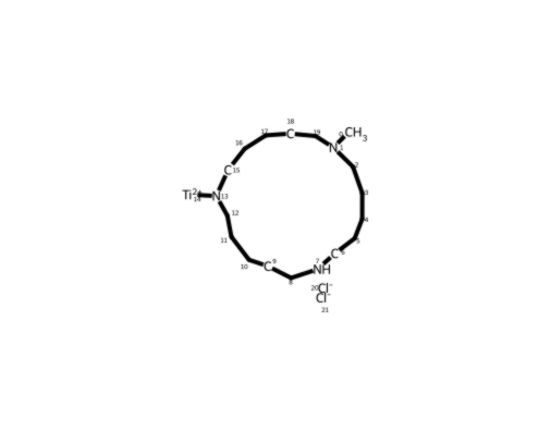 CN1CCCCCNCCCCC[N]([Ti+2])CCCCC1.[Cl-].[Cl-]